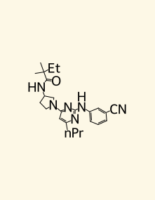 CCCc1cc(N2CCC(NC(=O)C(C)(C)CC)C2)nc(Nc2cccc(C#N)c2)n1